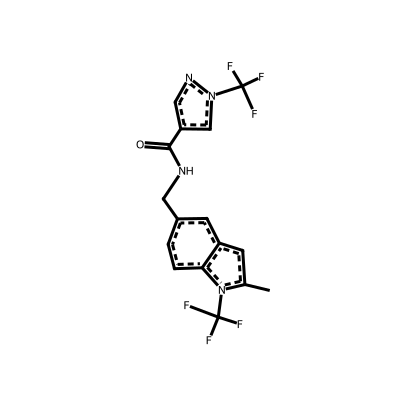 Cc1cc2cc(CNC(=O)c3cnn(C(F)(F)F)c3)ccc2n1C(F)(F)F